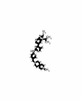 Cc1nc2ncc(-c3nc(Nc4ccc(CN5CCC6(CCN(C)CC6)CC5)cn4)ncc3F)cc2n1C(C)C